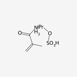 C=C(C)C(N)=O.CC(C)OS(=O)(=O)O